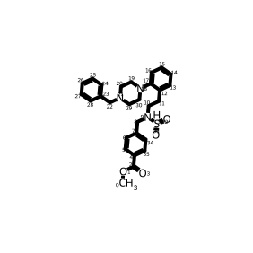 COC(=O)c1ccc(CN(CCc2ccccc2N2CCN(Cc3ccccc3)CC2)[SH](=O)=O)cc1